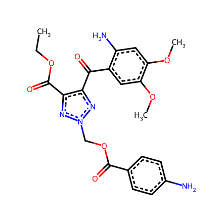 CCOC(=O)c1nn(COC(=O)c2ccc(N)cc2)nc1C(=O)c1cc(OC)c(OC)cc1N